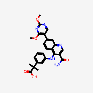 COc1ncc(-c2ccc3c(Nc4cccc(C(C)(C)C(=O)O)c4)c(C(N)=O)cnc3c2)c(OC)n1